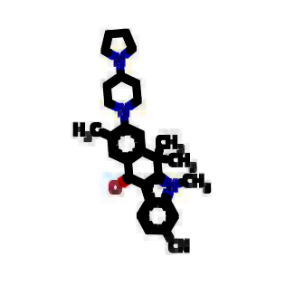 Cc1cc2c(cc1N1CCC(N3CCCC3)CC1)C(C)(C)c1c(c3ccc(C#N)cc3n1C)C2=O